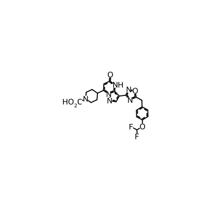 O=C(O)N1CCC(c2cc(=O)[nH]c3c(-c4noc(Cc5ccc(OC(F)F)cc5)n4)cnn23)CC1